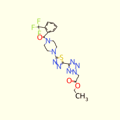 CCOC(=O)Cn1nnc(-c2nnc(N3CCN(C(=O)c4ccccc4C(F)(F)F)CC3)s2)n1